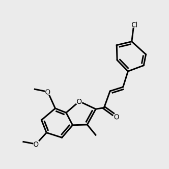 COc1cc(OC)c2oc(C(=O)/C=C/c3ccc(Cl)cc3)c(C)c2c1